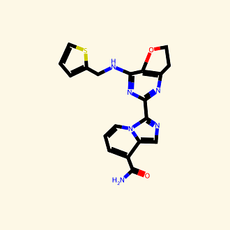 NC(=O)c1cccn2c(-c3nc4c(c(NCc5cccs5)n3)OCC4)ncc12